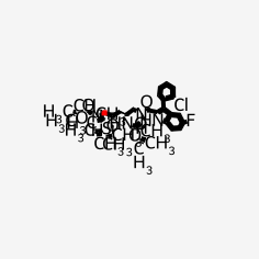 CC(C)[Si](OC(CNC(=O)OC(C)(C)C)C[C@@H](CNC(=O)c1[nH]c2ccc(F)cc2c1-c1ccccc1Cl)NC(=O)OC(C)(C)C)(C(C)C)C(C)C